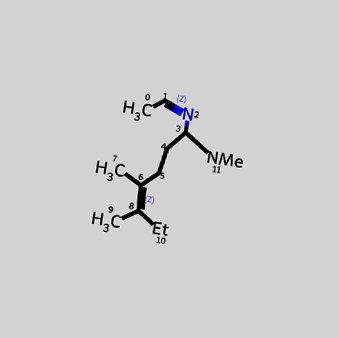 C/C=N\C(CC/C(C)=C(/C)CC)NC